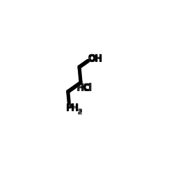 Cl.OCCCP